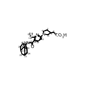 CCSc1nc(N2CCC(CC(=O)O)C2)ccc1C(=O)NC1C2CC3CC(C2)CC1C3